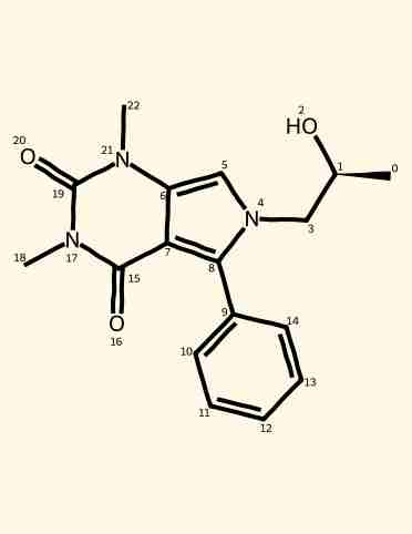 C[C@H](O)Cn1cc2c(c1-c1ccccc1)c(=O)n(C)c(=O)n2C